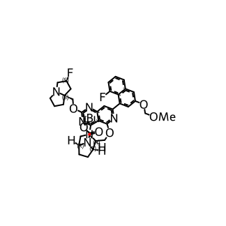 COCOc1cc(-c2cc3nc(OC[C@@]45CCCN4C[C@@H](F)C5)nc4c3c(n2)OC[C@H]2[C@@H]3CC[C@H](CN42)N3C(=O)OC(C)(C)C)c2c(F)cccc2c1